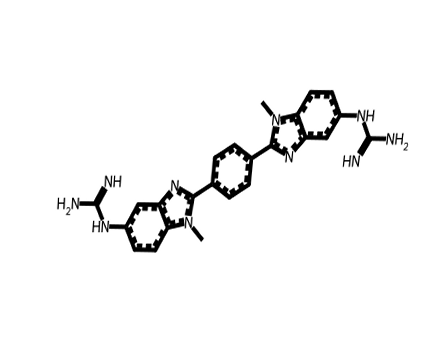 Cn1c(-c2ccc(-c3nc4cc(NC(=N)N)ccc4n3C)cc2)nc2cc(NC(=N)N)ccc21